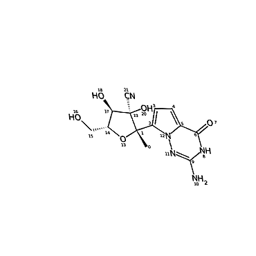 C[C@@]1(c2ccc3c(=O)[nH]c(N)nn23)O[C@H](CO)[C@@H](O)[C@]1(O)C#N